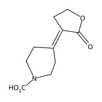 O=C1OCCC1=C1CCN(C(=O)O)CC1